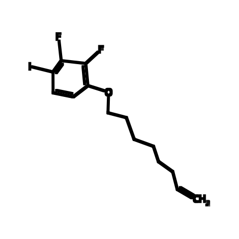 C=CCCCCCCOc1ccc(I)c(F)c1F